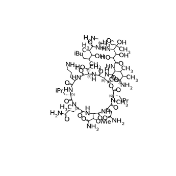 CCC(C)CC(C)C(O)C(C)C(=O)N[C@H](CN)C(=O)NC(C(O)C(O)C(=O)NC(C(=O)N[C@H]1C(=O)N[C@H]([C@@H](C)O)C(=O)NC(CCCN)C(=O)N[C@@H](CC(C)C)C(=O)N(C)[C@@H](CCC(N)=O)C(=O)NC(C(OC)C(N)=O)C(=O)N[C@H](CC(N)=O)C(=O)N(C)[C@@H](CC(C)C)C(=O)O[C@@H]1C)C(C)C(C)C(N)=O)C(C)(C)O